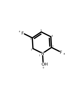 ON1CC(F)=CC=C1F